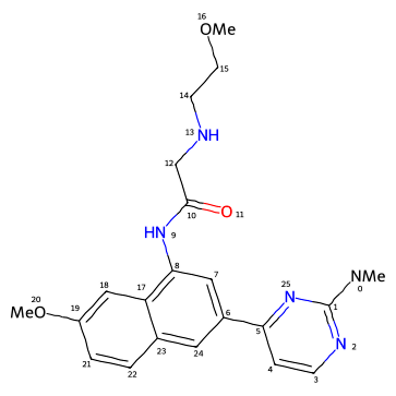 CNc1nccc(-c2cc(NC(=O)CNCCOC)c3cc(OC)ccc3c2)n1